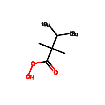 CC(C)(C)C(C(C)(C)C)C(C)(C)C(=O)OO